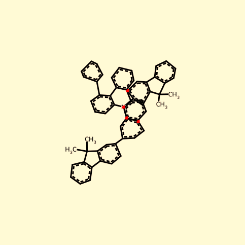 CC1(C)c2ccccc2-c2ccc(-c3cccc(N(c4ccc5c(c4)C(C)(C)c4ccccc4-5)c4cccc(-c5ccccc5)c4-c4ccccc4-c4ccccc4)c3)cc21